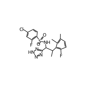 Cc1ccc(F)c(C(C)C(NS(=O)(=O)c2ccc(Cl)cc2F)c2nn[nH]n2)c1C